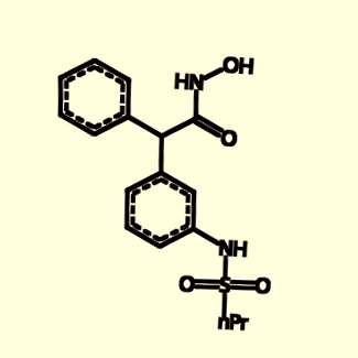 CCCS(=O)(=O)Nc1cccc(C(C(=O)NO)c2ccccc2)c1